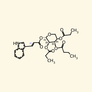 CCCC(=O)O[C@H]1[C@@H](OC(=O)CC)[C@H](OC(=O)/C=C/c2c[nH]c3ccccc23)OC[C@H]1OC(=O)CC